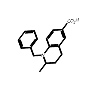 CC1CCc2cc(C(=O)O)ccc2N1Cc1ccccc1